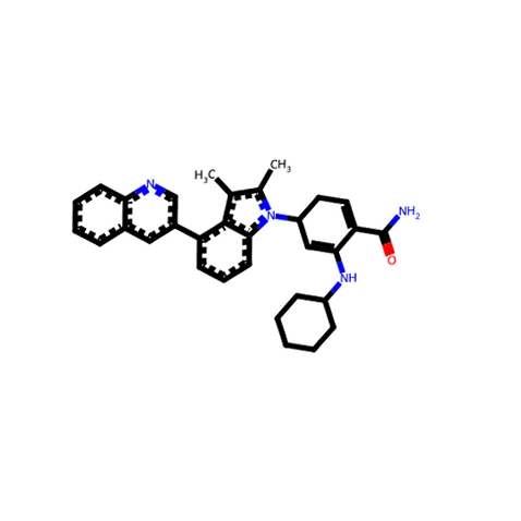 Cc1c(C)n(C2C=C(NC3CCCCC3)C(C(N)=O)=CC2)c2cccc(-c3cnc4ccccc4c3)c12